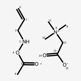 C=CCNOC(C)=O.C[N+](C)(C)CC(=O)[O-]